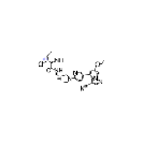 C/C=C(/Cl)C(=N)C(=O)NC[C@H]1CCN(c2ccc(-c3cc(OCC)cn4ncc(C#N)c34)cn2)C1